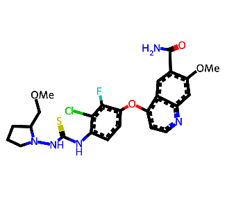 COCC1CCCN1NC(=S)Nc1ccc(Oc2ccnc3cc(OC)c(C(N)=O)cc23)c(F)c1Cl